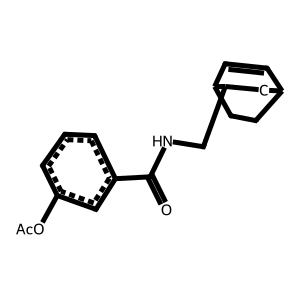 CC(=O)Oc1cccc(C(=O)NCC2CC3C=CC2CC3)c1